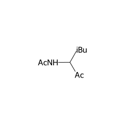 CCC(C)C(NC(C)=O)C(C)=O